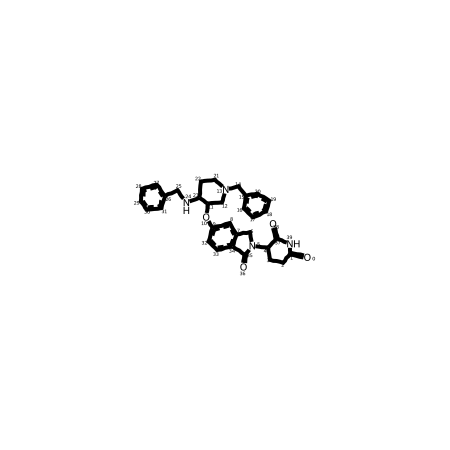 O=C1CCC(N2Cc3cc(OC4CN(Cc5ccccc5)CCC4NCc4ccccc4)ccc3C2=O)C(=O)N1